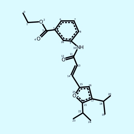 CCOC(=O)c1cccc(NC(=O)/C=C/c2cc(C(C)C)c(C(C)C)o2)c1